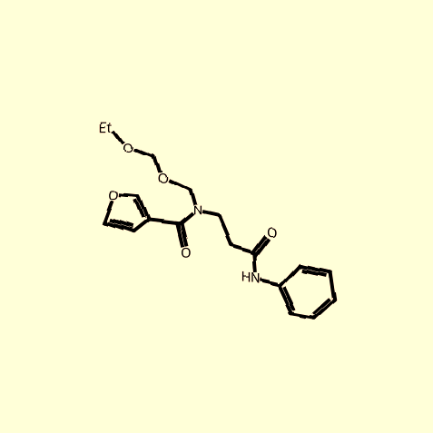 CCOCOCN(CCC(=O)Nc1ccccc1)C(=O)c1ccoc1